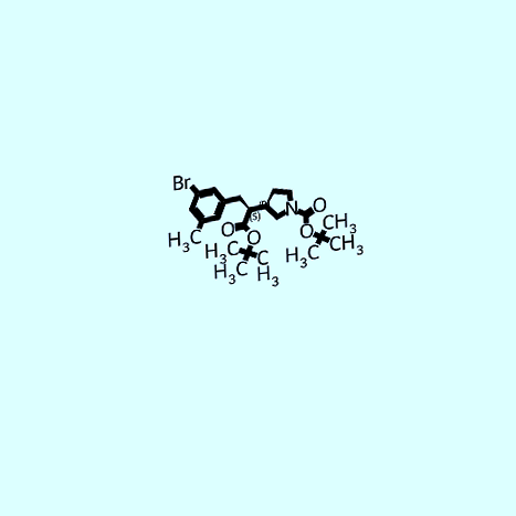 Cc1cc(Br)cc(C[C@H](C(=O)OC(C)(C)C)[C@H]2CCN(C(=O)OC(C)(C)C)C2)c1